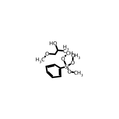 COCC(C)O.CO[Si](OC)(OC)c1ccccc1